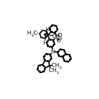 CC1(C)c2ccccc2-c2ccc(N(c3ccc4c(c3)S(=O)(=O)c3ccccc3C43[C@H]4C[C@@H](C)C[C@@H]3C[C@@H](C)C4)c3ccc4ccccc4c3)cc21